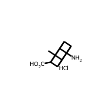 CC12C3C4C5C(C1C53N)C42C(=O)O.Cl